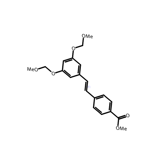 COCOc1cc(/C=C/c2ccc(C(=O)OC)cc2)cc(OCOC)c1